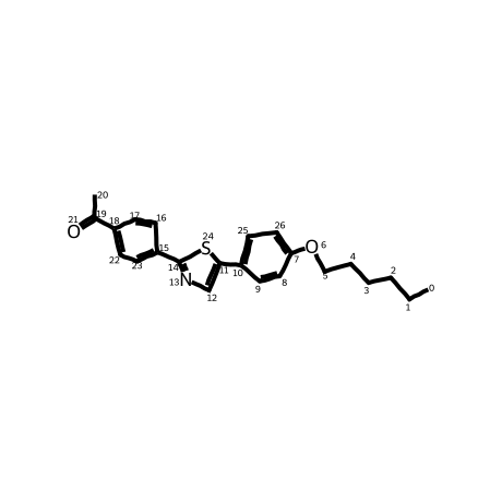 CCCCCCOc1ccc(-c2cnc(-c3ccc(C(C)=O)cc3)s2)cc1